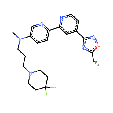 CN(CCCN1CCC(F)(F)CC1)c1ccc(-c2cc(-c3noc(C(F)(F)F)n3)ccn2)nc1